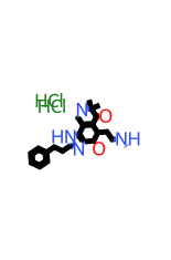 CNCCC1C(=O)c2nc(CCc3ccccc3)[nH]c2C2=C1C(=O)C(C)(C)N=C2.Cl.Cl